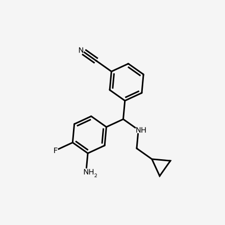 N#Cc1cccc(C(NCC2CC2)c2ccc(F)c(N)c2)c1